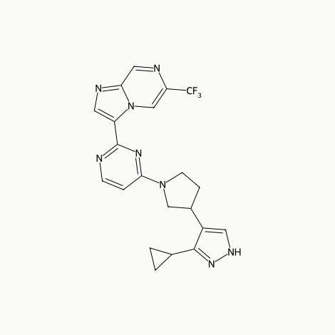 FC(F)(F)c1cn2c(-c3nccc(N4CCC(c5c[nH]nc5C5CC5)C4)n3)cnc2cn1